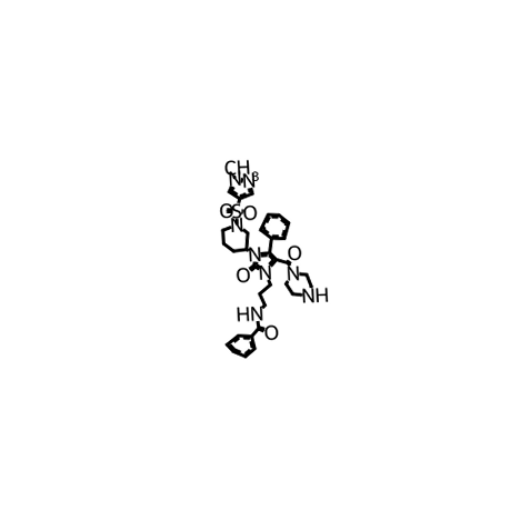 Cn1cc(S(=O)(=O)N2CCCC(n3c(-c4ccccc4)c(C(=O)N4CCNCC4)n(CCCNC(=O)c4ccccc4)c3=O)C2)cn1